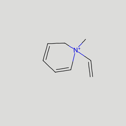 C=C[N+]1(C)C=CC=CC1